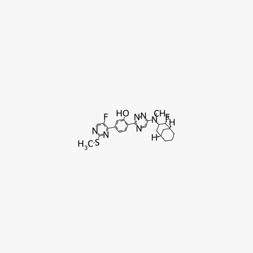 CSc1ncc(F)c(-c2ccc(-c3ncc(N(C)[C@@H]4C[C@H]5CCC[C@H](C5)[C@@H]4F)nn3)c(O)c2)n1